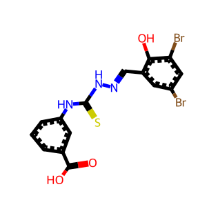 O=C(O)c1cccc(NC(=S)NN=Cc2cc(Br)cc(Br)c2O)c1